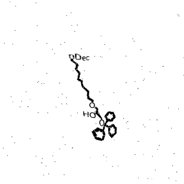 CCCCCCCCCCCCCCCCCCCCOC[C@@H](O)COC(c1ccccc1)(c1ccccc1)c1ccccc1